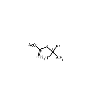 C=C(CC(F)(F)C(F)(F)F)OC(C)=O